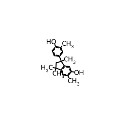 Cc1cc(C2(C)CC(C)(C)c3cc(C)c(O)cc32)ccc1O